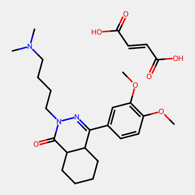 COc1ccc(C2=NN(CCCCN(C)C)C(=O)C3CCCCC23)cc1OC.O=C(O)C=CC(=O)O